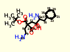 CC(C)(C)OC(=O)C(CCN)(CC(=O)C(N)Cc1ccccc1)C(=O)O